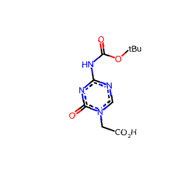 CC(C)(C)OC(=O)Nc1ncn(CC(=O)O)c(=O)n1